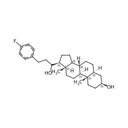 C[C@]12CC[C@H](O)C[C@@H]1CC[C@@H]1[C@@H]2CC[C@]2(C)[C@@H](C(O)CCc3ccc(F)cc3)CC[C@@H]12